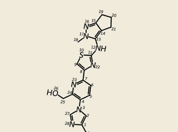 Cc1cn(-c2ccc(-c3csc(Nc4c5c(nn4C)CCC5)n3)nc2CO)cn1